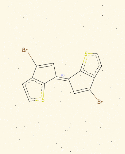 BrC1=C/C(=C2/C=C(Br)c3ccsc32)c2sccc21